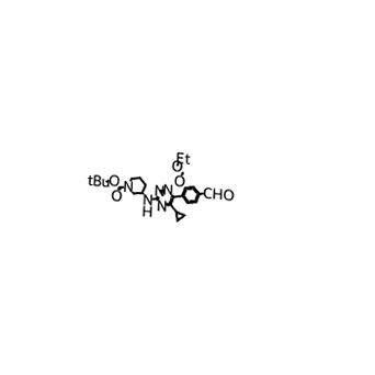 CCOCOc1cc(C=O)ccc1-c1nnc(N[C@@H]2CCCN(C(=O)OC(C)(C)C)C2)nc1C1CC1